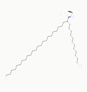 BrCCCCCCCCCCCCCCCCCCCCCCCC(CCCCCCCCCCCCBr)C1=[N+]C=CN1